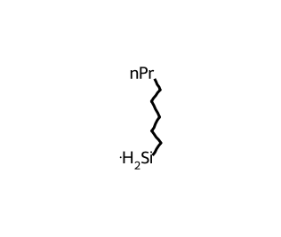 CCCCCCCC[SiH2]